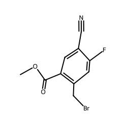 COC(=O)c1cc(C#N)c(F)cc1CBr